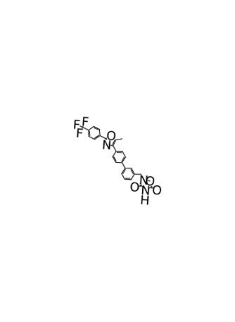 Cc1oc(-c2ccc(C(F)(F)F)cc2)nc1-c1ccc(-c2cccc(Cn3oc(=O)[nH]c3=O)c2)cc1